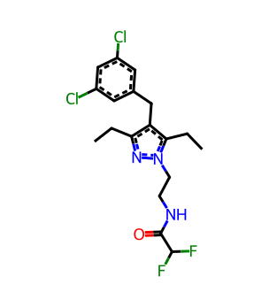 CCc1nn(CCNC(=O)C(F)F)c(CC)c1Cc1cc(Cl)cc(Cl)c1